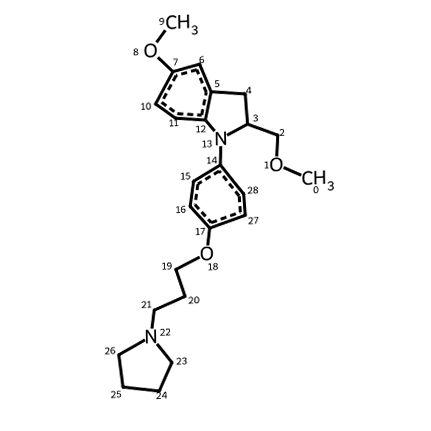 COCC1Cc2cc(OC)ccc2N1c1ccc(OCCCN2CCCC2)cc1